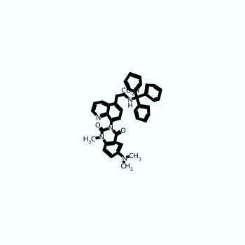 CN(C)c1ccc2c(c1)c(=O)n(-c1ccc(CC(NC(c3ccccc3)(c3ccccc3)c3ccccc3)C(=O)O)c3cccnc13)c(=O)n2C